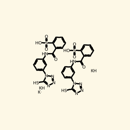 O=C(Nc1cccc(-n2nnnc2S)c1)c1ccccc1S(=O)(=O)O.O=C(Nc1cccc(-n2nnnc2S)c1)c1ccccc1S(=O)(=O)O.[KH].[KH].[K]